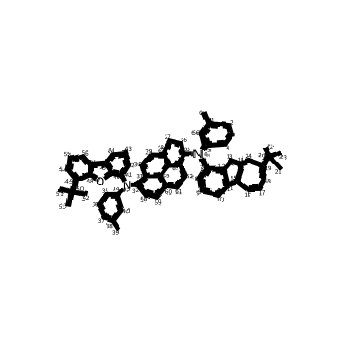 Cc1cccc(N(c2cccc3c2CC2=C3C=CC=C(C(C)(C)C)C2)c2ccc3ccc4c(N(c5cccc(C)c5)c5cccc6c5oc5c(C(C)(C)C)cccc56)ccc5ccc2c3c54)c1